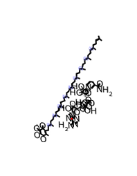 COC1=C(OC)C(=O)C(C/C=C(\C)CC/C=C(\C)CC/C=C(\C)CC/C=C(\C)CC/C=C(\C)CC/C=C(\C)CC/C=C(\C)CC/C=C(\C)CC/C=C(\C)CCC=C(C)C)=C(C)C1=O.NC(=O)C1=CN([C@@H]2O[C@H](COP(=O)(O)OP(=O)(O)OC[C@H]3O[C@@H](n4cnc5c(N)ncnc54)[C@H](O)[C@@H]3O)[C@@H](O)[C@H]2O)C=CC1